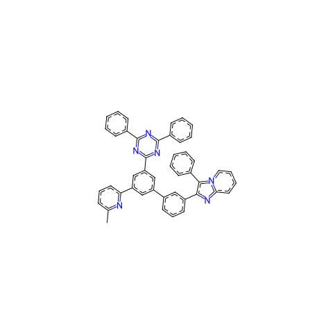 Cc1cccc(-c2cc(-c3cccc(-c4nc5ccccn5c4-c4ccccc4)c3)cc(-c3nc(-c4ccccc4)nc(-c4ccccc4)n3)c2)n1